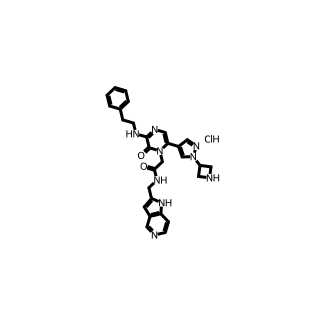 Cl.O=C(Cn1c(-c2cnn(C3CNC3)c2)cnc(NCCc2ccccc2)c1=O)NCc1cc2cnccc2[nH]1